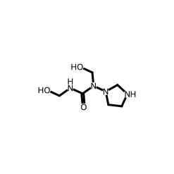 O=C(NCO)N(CO)N1CCNC1